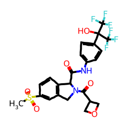 CS(=O)(=O)c1ccc2c(c1)CN(C(=O)C1COC1)C2C(=O)Nc1ccc(C(O)(C(F)(F)F)C(F)(F)F)cc1